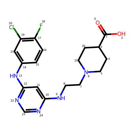 O=C(O)C1CCN(CCNc2cc(Nc3ccc(F)c(Cl)c3)ncn2)CC1